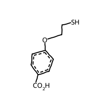 O=C(O)c1ccc(OCCS)cc1